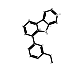 CCc1cccc(-c2cccc3c2oc2cnccc23)c1